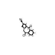 N#Cc1cc2n(c1)CC(Cl)c1ccccc1C2=O